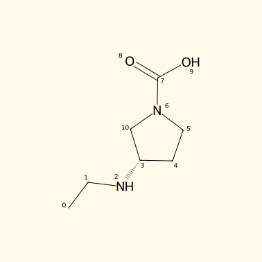 CCN[C@H]1CCN(C(=O)O)C1